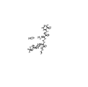 C=CCOC(=O)[C@H](CCCC(N)C(=O)OCc1ccccc1Cl)NCCNC(=O)OC(C)(C)C.Cl